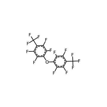 Fc1c(F)c(C(F)(F)F)c(F)c(F)c1Oc1c(F)c(F)c(C(F)(F)F)c(F)c1F